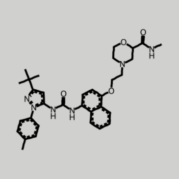 CNC(=O)C1CN(CCOc2ccc(NC(=O)Nc3cc(C(C)(C)C)nn3-c3ccc(C)cc3)c3ccccc23)CCO1